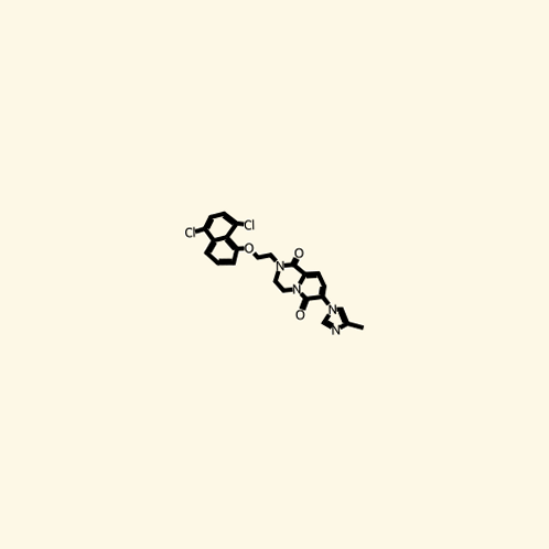 Cc1cn(-c2ccc3n(c2=O)CCN(CCOc2cccc4c(Cl)ccc(Cl)c24)C3=O)cn1